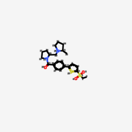 CCS(=O)(=O)c1ccc(-c2ccc(C(=O)N3CCCC3CN3CCCC3C)cc2)s1